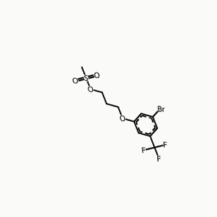 CS(=O)(=O)OCCCOc1cc(Br)cc(C(F)(F)F)c1